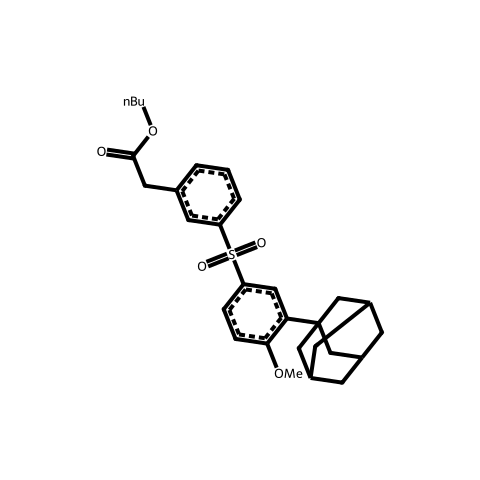 CCCCOC(=O)Cc1cccc(S(=O)(=O)c2ccc(OC)c(C34CC5CC(CC(C5)C3)C4)c2)c1